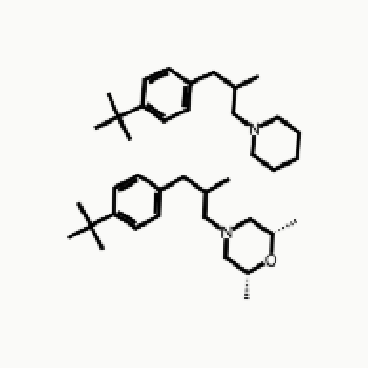 CC(Cc1ccc(C(C)(C)C)cc1)CN1CCCCC1.CC(Cc1ccc(C(C)(C)C)cc1)CN1C[C@@H](C)O[C@@H](C)C1